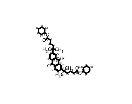 CC(C)(CCCC(=O)OC1CCCCC1)c1ccc2c(c1)C(=O)c1cc(C(C)(C)CCCC(=O)OC3CCCCC3)ccc1C2=O